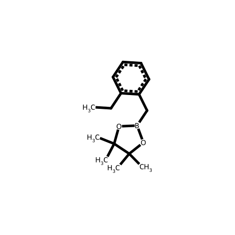 CCc1ccccc1CB1OC(C)(C)C(C)(C)O1